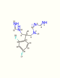 CN(/C=N\C=N)CC(C)(CNC=N)c1ccc(F)cc1F